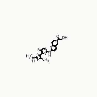 CNc1nc(C)c(-c2nc(Nc3ccc4c(n3)CCN(C(=O)CO)C4)ncc2F)s1